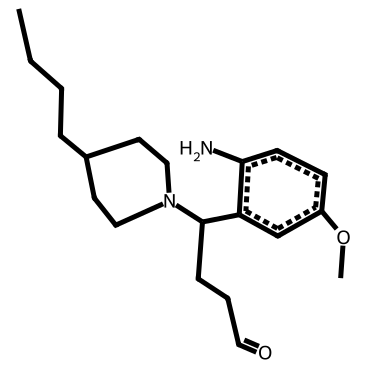 CCCCC1CCN(C(CCC=O)c2cc(OC)ccc2N)CC1